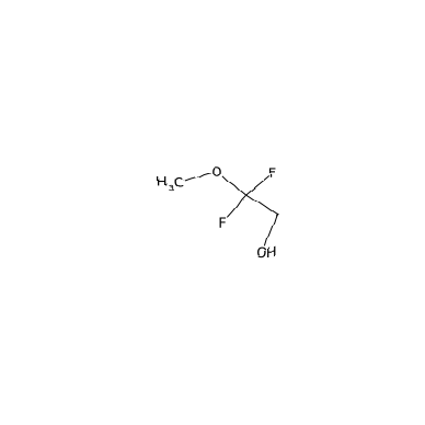 COC(F)(F)CO